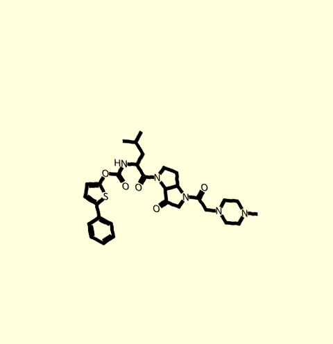 CC(C)CC(NC(=O)Oc1ccc(-c2ccccc2)s1)C(=O)N1CCC2C1C(=O)CN2C(=O)CN1CCN(C)CC1